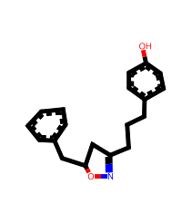 Oc1ccc(CCCC2=NOC(Cc3ccccc3)C2)cc1